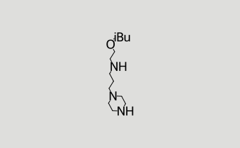 CCC(C)OCCNCCCN1CCNCC1